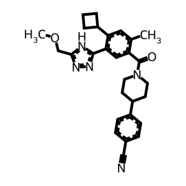 COCc1nnc(-c2cc(C(=O)N3CCC(c4ccc(C#N)cc4)CC3)c(C)cc2C2CCC2)[nH]1